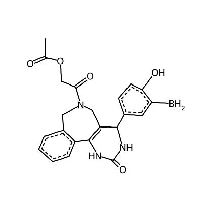 Bc1cc(C2NC(=O)NC3=C2CN(C(=O)COC(C)=O)Cc2ccccc23)ccc1O